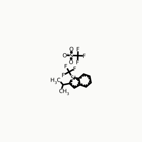 CC(C)c1cc2ccccc2[s+]1C(F)(F)F.O=S(=O)([O-])C(F)(F)F